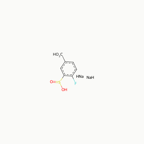 O=C(O)c1ccc(F)c(S(=O)O)c1.[NaH].[NaH]